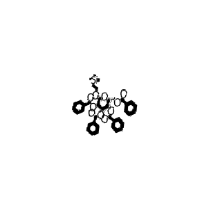 C[Si](C)(C)CCO[C@@H]1O[C@H](COC(=O)c2ccccc2)[C@@H](OC(=O)c2ccccc2)[C@H](OC(=O)c2ccccc2)[C@H]1OC(=O)c1ccccc1